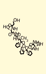 C[C@H](NC(=O)CNC(=O)[C@H](CO)NC(=O)CCO)C(=O)N1CCC[C@H]1C(=O)N1CCC[C@H]1C(=O)N1CCC[C@H]1C(=O)N[C@@H](CO)C(N)=O